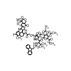 CC[C@@]1(O)C(=O)OCc2c1cc1n(c2=O)Cc2c-1nc1cc(F)c(C)c3c1c2[C@@H](NC(=O)COCNC(=O)[C@H](CO[C@@H]1O[C@H](C(=O)OC)[C@@H](OC(C)=O)[C@H](OC(C)=O)[C@H]1OC(C)=O)NC(=O)[C@@H](NC(=O)OCC1c2ccccc2-c2ccccc21)C(C)C)CC3